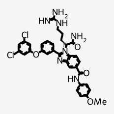 COc1ccc(NC(=O)c2ccc3c(c2)nc(-c2cccc(Oc4cc(Cl)cc(Cl)c4)c2)n3[C@@H](CCCNC(=N)N)C(N)=O)cc1